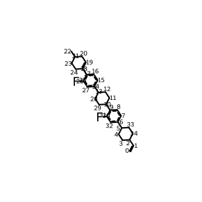 C=CC1CCC(c2ccc(C3CCC(c4ccc(C5=CCC(C)CC5)c(F)c4)CC3)c(F)c2)CC1